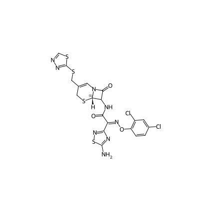 Nc1nc(C(=NOc2ccc(Cl)cc2Cl)C(=O)NC2C(=O)N3C=C(CSc4nncs4)CS[C@@H]23)ns1